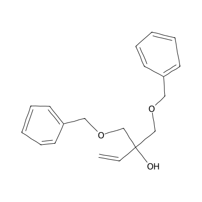 C=CC(O)(COCc1ccccc1)COCc1ccccc1